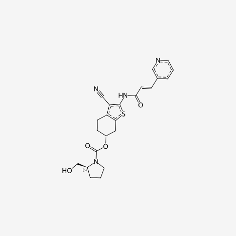 N#Cc1c(NC(=O)C=Cc2cccnc2)sc2c1CCC(OC(=O)N1CCC[C@H]1CO)C2